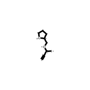 C#CC(I)OCC1CCCO1